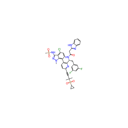 Cn1nc(NS(C)(=O)=O)c2c(Cl)ccc(-c3ccc(C#CC(C)(C)S(=O)(=O)C4CC4)nc3[C@H](Cc3cc(F)cc(F)c3)NC(=O)Cc3nc4ccccc4[nH]3)c21